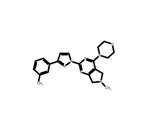 Cc1cccc(-c2ccn(-c3nc4c(c(N5CCOCC5)n3)CN(C)C4)n2)c1